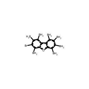 Bc1c(B)c(B)c2c(oc3c(B)c(Br)c(B)c(B)c32)c1B